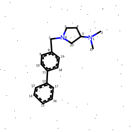 CN(C)C1CCN(Cc2ccc(-c3ccccc3)cc2)C1